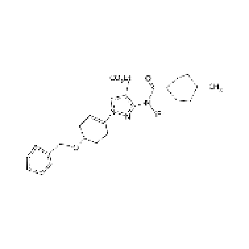 CCOC(=O)c1cn(C2=CCC(OCc3ccccc3)CC2)nc1N(C(=O)C1CCC(C)CC1)C(C)C